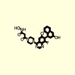 O=C(CC(=O)N1CCN(c2ncnc3c(F)c(-c4cc(O)cc5ccccc45)c(Cl)cc23)CC1)NO